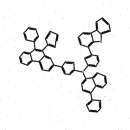 c1ccc(-c2ccc(N(c3ccc(-c4ccc5c(c4)c(-c4ccccc4)c(-c4ccccc4)c4ccccc45)cc3)c3cccc(-c4cccc5c4sc4ccccc45)c3)c3ccccc23)cc1